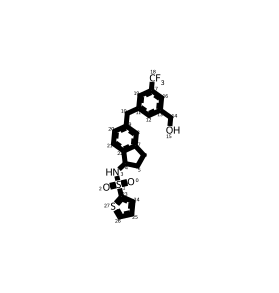 O=S(=O)(NC1CCc2cc(Cc3cc(CO)cc(C(F)(F)F)c3)ccc21)c1cccs1